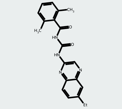 CCc1ccc2nc(NC(=O)NC(=O)c3c(C)cccc3C)cnc2c1